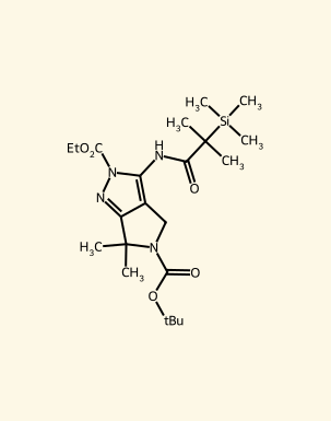 CCOC(=O)n1nc2c(c1NC(=O)C(C)(C)[Si](C)(C)C)CN(C(=O)OC(C)(C)C)C2(C)C